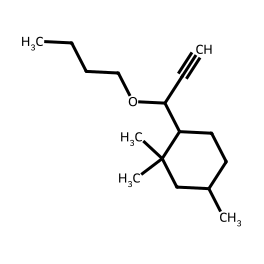 C#CC(OCCCC)C1CCC(C)CC1(C)C